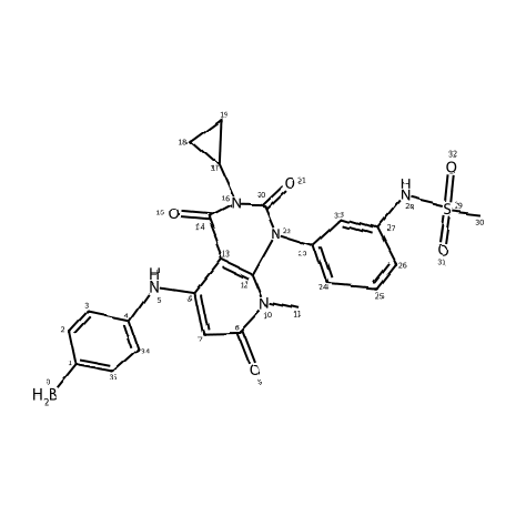 Bc1ccc(Nc2cc(=O)n(C)c3c2c(=O)n(C2CC2)c(=O)n3-c2cccc(NS(C)(=O)=O)c2)cc1